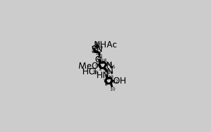 COc1cc2c(Nc3ccc(C)c(O)c3)ncnc2cc1OCc1csc(NC(C)=O)n1.Cl